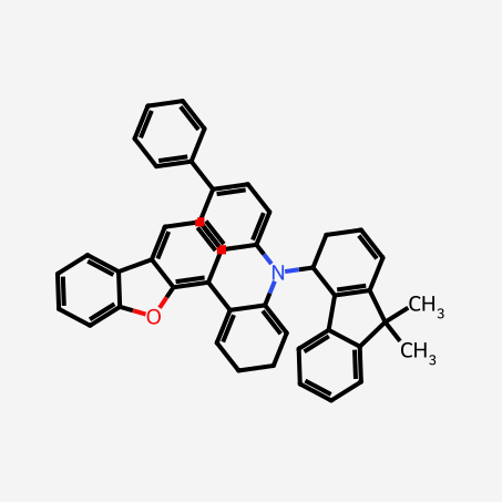 CC1(C)C2=C(c3ccccc31)C(N(C1=CCCC=C1c1cccc3c1oc1ccccc13)c1ccc(-c3ccccc3)cc1)CC=C2